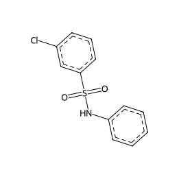 O=S(=O)(Nc1ccccc1)c1cccc(Cl)c1